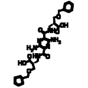 Nc1nc(C(=O)NC[C@H](COCc2ccccc2)C(=O)O)c(N)nc1C(=O)NC[C@H](COCc1ccccc1)C(=O)O